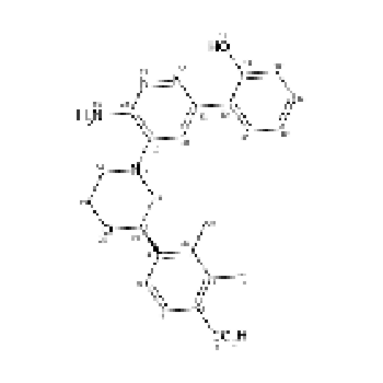 Cc1c(C(=O)O)ccc([C@@H]2CN(c3cc(-c4ccccc4O)nnc3N)CCO2)c1C